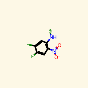 O=[N+]([O-])c1cc(F)c(F)cc1NBr